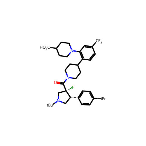 CC(C)c1ccc([C@@H]2CN(C(C)(C)C)C[C@@]2(F)C(=O)N2CCC(c3ccc(C(F)(F)F)cc3N3CCC(C(=O)O)CC3)CC2)cc1